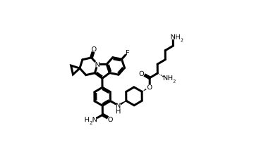 NCCCC[C@H](N)C(=O)O[C@H]1CC[C@H](Nc2cc(-c3c4n(c5cc(F)ccc35)C(=O)CC3(CC3)C4)ccc2C(N)=O)CC1